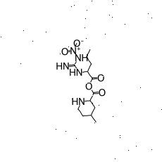 CCCC(NC(=N)N[N+](=O)[O-])C(=O)OC(=O)C1CC(C)CCN1